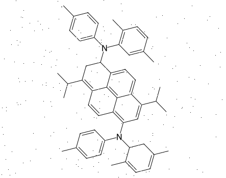 CC1=CC=C(C)C(N(c2ccc(C)cc2)c2cc(C(C)C)c3ccc4c5c(ccc2c35)=C(C(C)C)CC4N(c2ccc(C)cc2)c2cc(C)ccc2C)C1